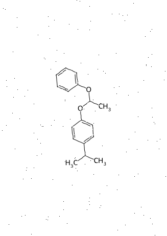 CC(Oc1ccccc1)Oc1ccc(C(C)C)cc1